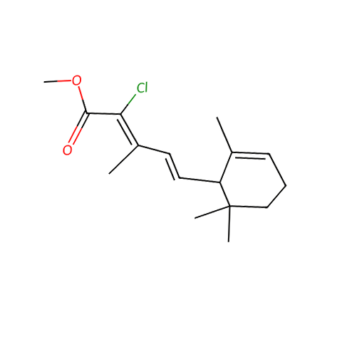 COC(=O)/C(Cl)=C(C)/C=C/C1C(C)=CCCC1(C)C